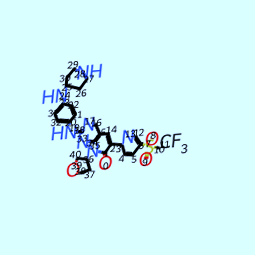 O=c1c(-c2ccc(S(=O)(=O)CC(F)(F)F)cn2)cc2cnc(Nc3ccc(NC4CCNCC4)cc3)nc2n1C1CCOC1